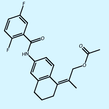 CC(=O)OCC(C)=C1CCCc2cc(NC(=O)c3cc(F)ccc3F)ccc21